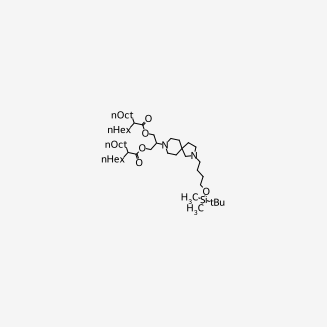 CCCCCCCCC(CCCCCC)C(=O)OCC(COC(=O)C(CCCCCC)CCCCCCCC)N1CCC2(CCN(CCCCO[Si](C)(C)C(C)(C)C)C2)CC1